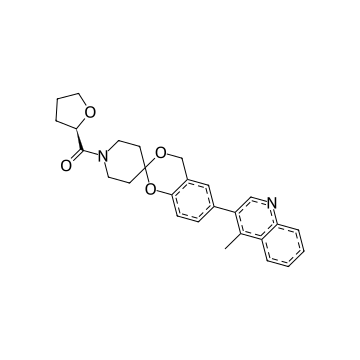 Cc1c(-c2ccc3c(c2)COC2(CCN(C(=O)[C@H]4CCCO4)CC2)O3)cnc2ccccc12